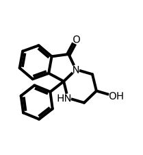 O=C1c2ccccc2C2(c3ccccc3)NCC(O)CN12